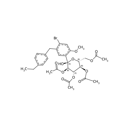 CCc1ccc(Cc2cc([C@]3(O)O[C@H](COC(C)=O)[C@@H](OC(C)=O)[C@H](OC(C)=O)[C@H]3OC(C)=O)c(OC)cc2Br)cc1